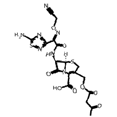 CC(=O)CC(=O)OCC1=C(C(=O)O)N2C(=O)[C@@H](NC(=O)/C(=N/OCC#N)c3nsc(N)n3)[C@H]2SC1